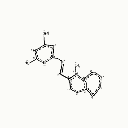 C[n+]1c(C=Nc2cc(O)nc(O)n2)ccc2ccccc21